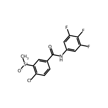 C[S+]([O-])c1cc(C(=O)Nc2cc(F)c(F)c(F)c2)ccc1Cl